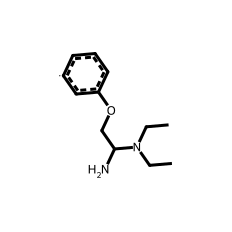 CCN(CC)C(N)COc1c[c]ccc1